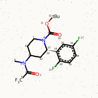 CN(C(=O)C(F)(F)F)C1CCN(C(=O)OC(C)(C)C)[C@H](c2cc(F)ccc2F)C1